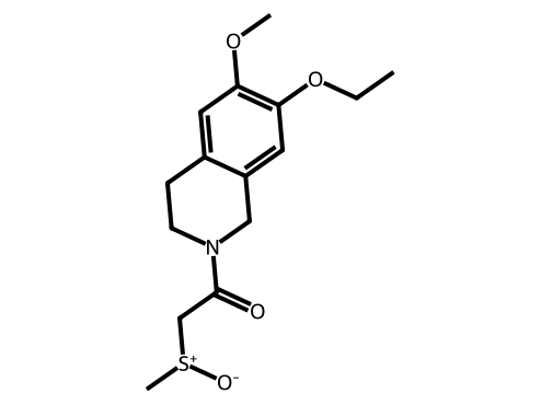 CCOc1cc2c(cc1OC)CCN(C(=O)C[S+](C)[O-])C2